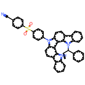 C=CC(c1ccccc1)n1c2ccccc2c2ccc3c(c4c5[nH]c6ccccc6c5ccc4n3-c3ccc(S(=O)(=O)c4ccc(C#N)cc4)cc3)c21